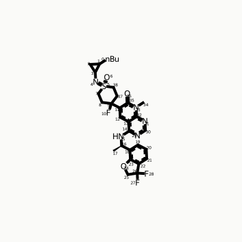 CCCCC1CC1N=S1(=O)CCC(F)(c2cc3c(N[C@H](C)c4cccc5c4OCC5(F)F)ncnc3n(C)c2=O)CC1